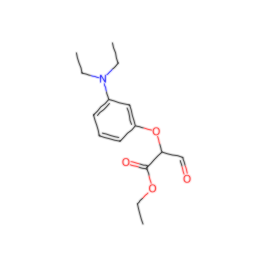 CCOC(=O)C(C=O)Oc1cccc(N(CC)CC)c1